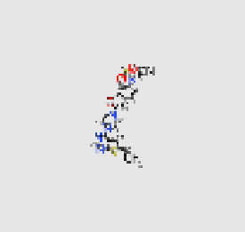 CS(=O)(=O)N(CC#N)c1ccc(CC(=O)N2CCN(c3ncnc4sc(CC(F)(F)F)cc34)CC2)cc1